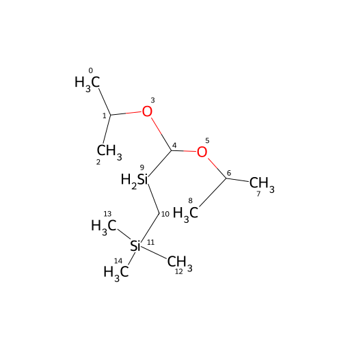 CC(C)OC(OC(C)C)[SiH2]C[Si](C)(C)C